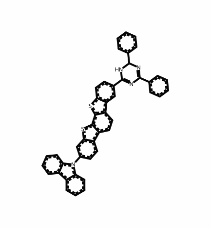 c1ccc(C2=NC(c3ccccc3)NC(c3ccc4sc5c(ccc6c7ccc(-n8c9ccccc9c9ccccc98)cc7sc65)c4c3)=N2)cc1